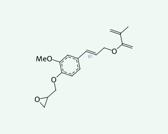 C=C(C)C(=C)OC/C=C/c1ccc(OCC2CO2)c(OC)c1